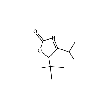 CC(C)C1=NC(=O)OC1C(C)(C)C